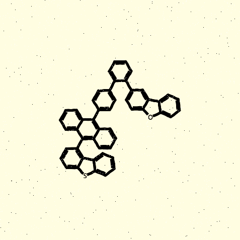 c1ccc(-c2ccc3oc4ccccc4c3c2)c(-c2ccc(-c3c4ccccc4c(-c4cccc5sc6ccccc6c45)c4ccccc34)cc2)c1